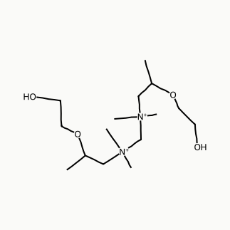 CC(C[N+](C)(C)C[N+](C)(C)CC(C)OCCO)OCCO